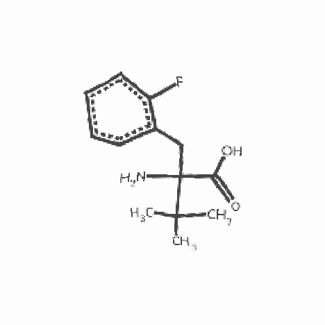 CC(C)(C)C(N)(Cc1ccccc1F)C(=O)O